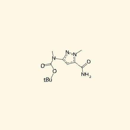 CN(C(=O)OC(C)(C)C)c1cc(C(N)=O)n(C)n1